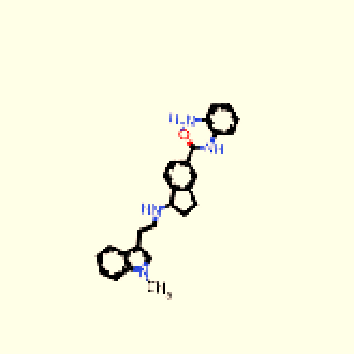 Cn1cc(CCNC2CCc3cc(C(=O)Nc4ccccc4N)ccc32)c2ccccc21